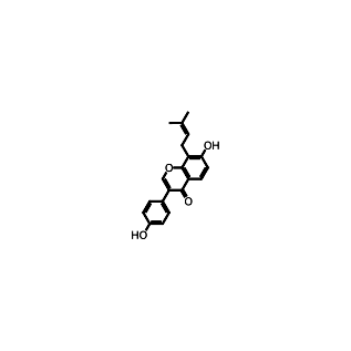 CC(C)=CCc1c(O)ccc2c(=O)c(-c3ccc(O)cc3)coc12